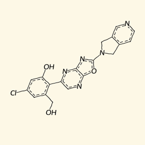 OCc1cc(Cl)cc(O)c1-c1cnc2oc(N3Cc4ccncc4C3)nc2n1